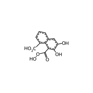 O=C(O)c1cccc2cc(O)c(O)c(C(=O)OO)c12